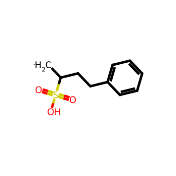 [CH2]C(CCc1ccccc1)S(=O)(=O)O